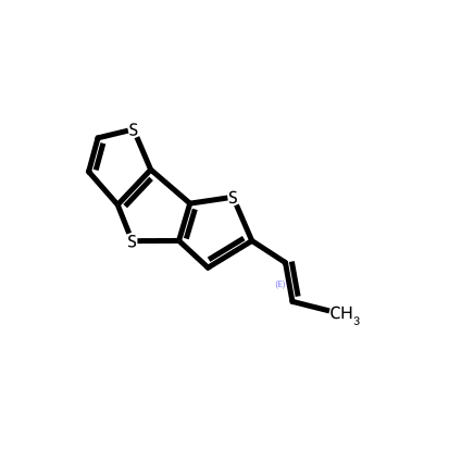 C/C=C/c1cc2sc3ccsc3c2s1